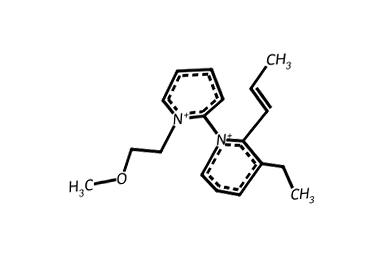 CC=Cc1c(CC)ccc[n+]1-c1cccc[n+]1CCOC